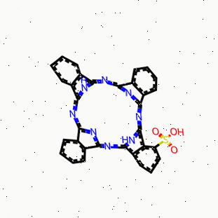 O=S(=O)(O)c1cccc2c3nc4nc(nc5[nH]c(nc6nc(nc([nH]3)c12)-c1ccccc1-6)c1ccccc51)-c1ccccc1-4